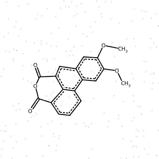 COc1cc2cc3c4c(cccc4c2cc1OC)C(=O)OC3=O